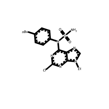 CCCCc1ccc(N(c2nc(Cl)nc3c2ncn3CC)S(N)(=O)=O)cc1